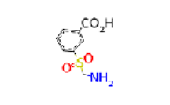 NCS(=O)(=O)c1cccc(C(=O)O)c1